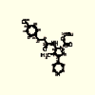 Cc1c(-c2ccncc2)nn(C(=O)OC(C)(C)C)c1NC(=O)CCc1ccc(Cl)cc1